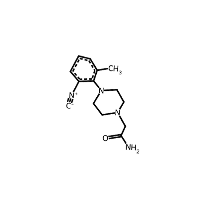 [C-]#[N+]c1cccc(C)c1N1CCN(CC(N)=O)CC1